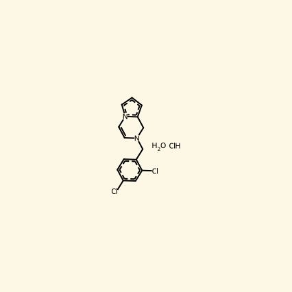 Cl.Clc1ccc(CN2C=Cn3cccc3C2)c(Cl)c1.O